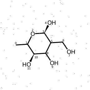 CC1O[C@@H](O)C(CO)C(O)[C@H]1O